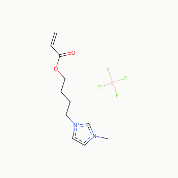 C=CC(=O)OCCCC[n+]1ccn(C)c1.F[B-](F)(F)F